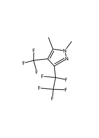 Cc1c(C(F)(F)F)c(C(F)(F)C(F)(F)F)nn1C